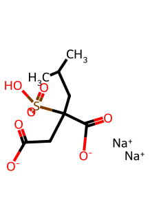 CC(C)CC(CC(=O)[O-])(C(=O)[O-])S(=O)(=O)O.[Na+].[Na+]